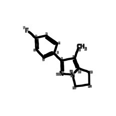 Cc1c(-c2ccc(F)cc2)nn2c1CCC2